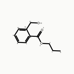 CCCOC(=O)c1ccccc1C[O]